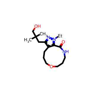 CCn1nc(CC(C)(C)CO)c2c1C(=O)NCCCOCCC2